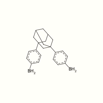 Bc1ccc(C23CC4CC(C2)CC(c2ccc(B)cc2)(C4)C3)cc1